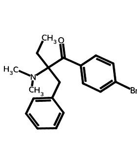 CCC(Cc1ccccc1)(C(=O)c1ccc(Br)cc1)N(C)C